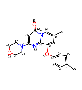 Cc1ccc(Oc2cc(C)cn3c(=O)cc(N4CCOCC4)nc23)cc1